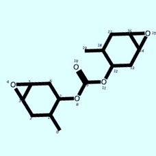 CC1CC2OC2CC1OC(=O)OC1CC2OC2CC1C